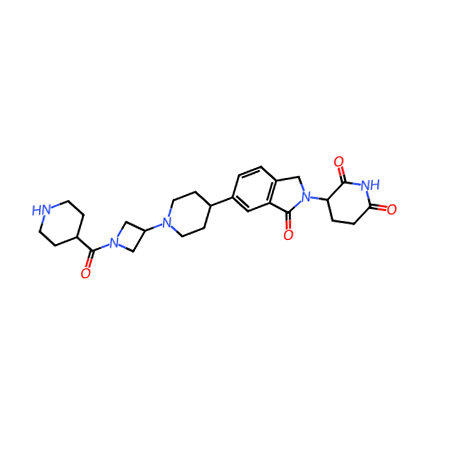 O=C1CCC(N2Cc3ccc(C4CCN(C5CN(C(=O)C6CCNCC6)C5)CC4)cc3C2=O)C(=O)N1